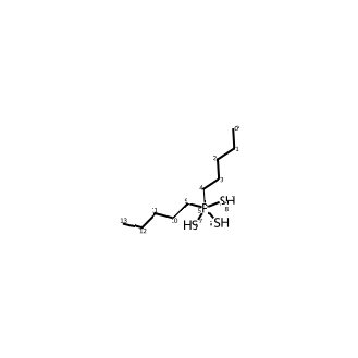 CCCCCP(S)(S)(S)CCCCC